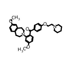 COc1ccc2c(c1)CCN(c1cc(OC)ccc1C(=O)c1ccc(OCCN3CCCCC3)cc1)CC2